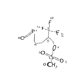 CS(=O)(=O)OC(CP=O)C(F)(F)F